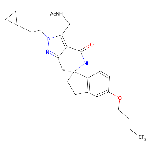 CC(=O)NCc1c2c(nn1CCC1CC1)C[C@]1(CCc3cc(OCCCC(F)(F)F)ccc31)NC2=O